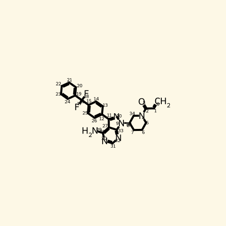 C=CC(=O)N1CCC[C@@H](n2nc(-c3ccc(C(F)(F)c4ccccc4)cc3)c3c(N)ncnc32)C1